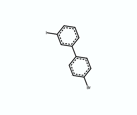 Brc1[c]cc(-c2cccc(I)c2)cc1